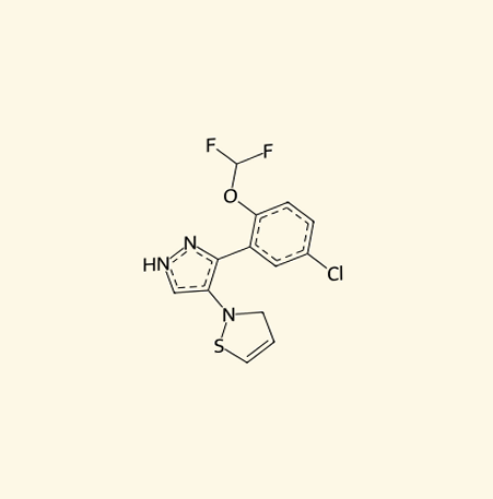 FC(F)Oc1ccc(Cl)cc1-c1n[nH]cc1N1CC=CS1